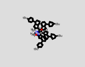 C[CH]=[Zr]([CH]1C(CC)=Cc2c(-c3ccc(C(C)(C)C)cc3)cccc21)([CH]1C(CC)=Cc2c(-c3ccc(C(C)(C)C)cc3)cccc21)[C](C(C1C(CC)=Cc2c(-c3ccc(C(C)(C)C)cc3)cccc21)C1C(CC)=Cc2c(-c3ccc(C(C)(C)C)cc3)cccc21)(N(C)C)N(C)C